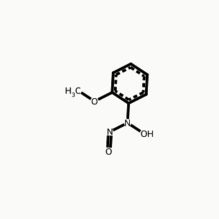 COc1ccccc1N(O)N=O